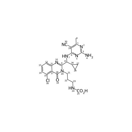 Cc1nc(N)nc(NC(c2nc3cccc(Cl)c3c(=O)n2CCCNC(=O)O)C2CC2)c1C#N